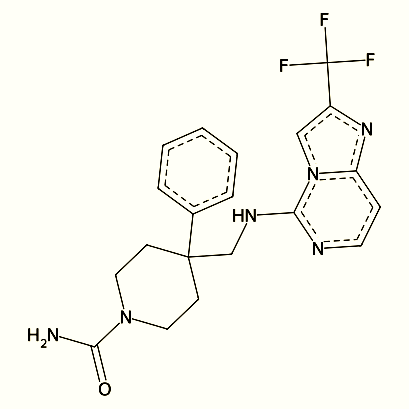 NC(=O)N1CCC(CNc2nccc3nc(C(F)(F)F)cn23)(c2ccccc2)CC1